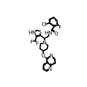 O=C(NCC(C1=C(C(F)F)NCS1)N1CCC(Oc2nccc3ncccc23)CC1)c1c(F)cccc1Cl